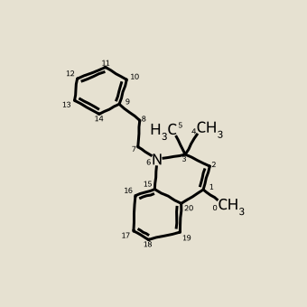 CC1=CC(C)(C)N(CCc2ccccc2)c2ccccc21